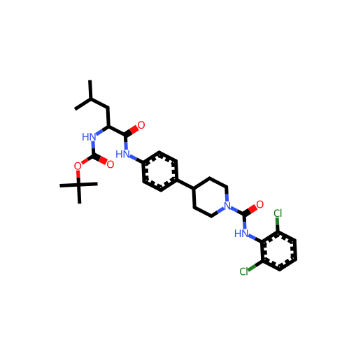 CC(C)CC(NC(=O)OC(C)(C)C)C(=O)Nc1ccc(C2CCN(C(=O)Nc3c(Cl)cccc3Cl)CC2)cc1